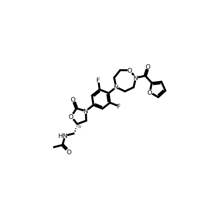 CC(=O)NC[C@H]1CN(c2cc(F)c(N3CCON(C(=O)c4ccco4)CC3)c(F)c2)C(=O)O1